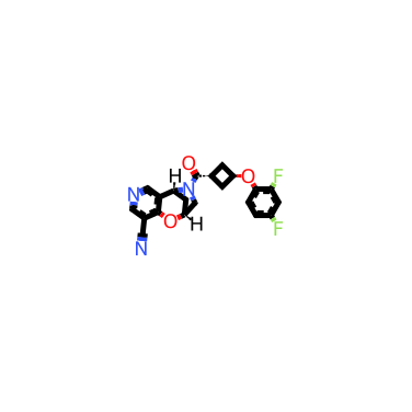 N#Cc1cncc2c1O[C@H]1C[C@@H]2N(C(=O)[C@H]2C[C@H](Oc3ccc(F)cc3F)C2)C1